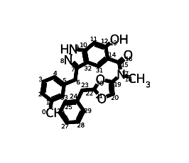 Cc1cccc(Cc2n[nH]c3cc(O)c(C(=O)N(C)C4=COC(Cc5ccccc5)O4)cc23)c1